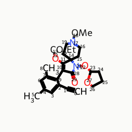 C#Cc1cc(C)cc(C)c1C1=C(OC(=O)OCC)C2(CCN(OC)CC2)N(OC2CCCO2)C1=O